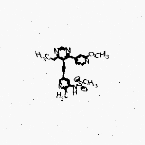 CCc1ncnc(-c2ccnc(OC)c2)c1C#Cc1cnc(C)c(NS(C)(=O)=O)c1